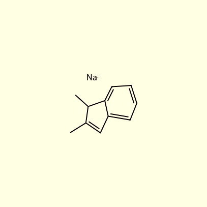 CC1=Cc2ccccc2C1C.[Na]